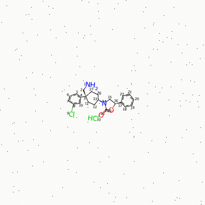 Cl.NC[C@]1(c2cccc(Cl)c2)CC[C@H](N2C[C@@H](c3ccccc3)OC2=O)CC1